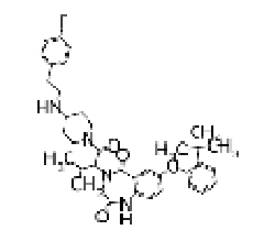 CC(C)C(C(=O)N1CCC(NCCc2ccc(F)cc2)CC1)N1CC(=O)Nc2ccc(Oc3ccccc3C(C)(C)C)cc2C1=O